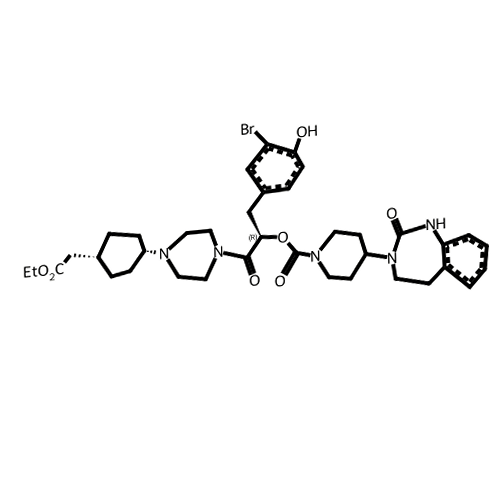 CCOC(=O)C[C@H]1CC[C@@H](N2CCN(C(=O)[C@@H](Cc3ccc(O)c(Br)c3)OC(=O)N3CCC(N4CCc5ccccc5NC4=O)CC3)CC2)CC1